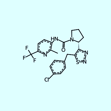 Cc1nc(C(F)(F)F)ccc1NC(=O)N1CCC[C@@H]1c1nnsc1Cc1ccc(Cl)cc1